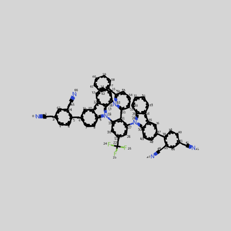 N#Cc1ccc(-c2ccc3c(c2)c2ccccc2n3-c2cc(C(F)(F)F)cc(-n3c4ccccc4c4cc(-c5ccc(C#N)cc5C#N)ccc43)c2-c2cccc(-c3ccccc3)n2)c(C#N)c1